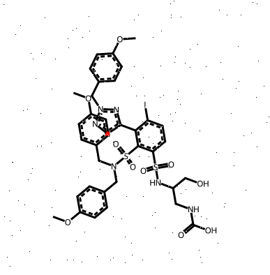 COc1ccc(CN(Cc2ccc(OC)cc2)S(=O)(=O)c2c(S(=O)(=O)NC(CO)CNC(=O)O)ccc(I)c2-c2nnn(Cc3ccc(OC)cc3)n2)cc1